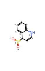 O=S(=O)=c1cc[nH]c2ccccc12